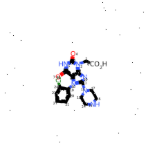 O=C(O)Cn1c(=O)[nH]c(=O)c2c1nc(N1CCNCC1)n2-c1ccccc1Cl